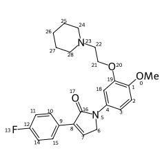 COc1ccc(N2CC=C(c3ccc(F)cc3)C2=O)cc1OCCN1CCCCC1